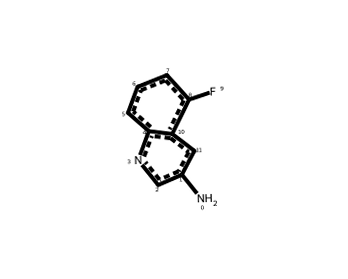 Nc1cnc2cccc(F)c2c1